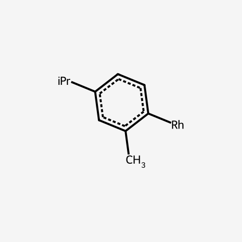 Cc1cc(C(C)C)cc[c]1[Rh]